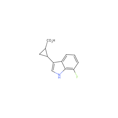 O=C(O)C1CC1c1c[nH]c2c(F)cccc12